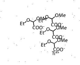 CCOC(OC)C(=O)[O-].CCOC(OC)C(=O)[O-].CCOC(OC)C(=O)[O-].CCOC(OC)C(=O)[O-].[Ti+4]